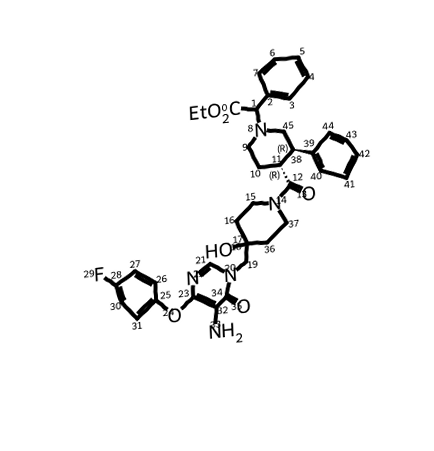 CCOC(=O)C(c1ccccc1)N1CC[C@@H](C(=O)N2CCC(O)(Cn3cnc(Oc4ccc(F)cc4)c(N)c3=O)CC2)[C@H](c2ccccc2)C1